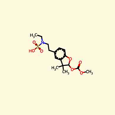 CCN(CCc1ccc2c(c1)C(C)(C)C(OC(=O)OC)O2)S(=O)(=O)O